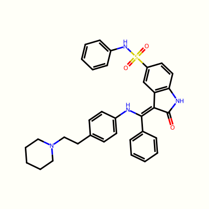 O=C1Nc2ccc(S(=O)(=O)Nc3ccccc3)cc2C1=C(Nc1ccc(CCN2CCCCC2)cc1)c1ccccc1